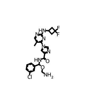 Cc1cnc(NC2CC(F)(F)C2)nc1-n1cnc(C(=O)NC(OCN)c2cccc(Cl)c2)c1